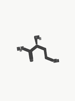 C[C@H](CCC(C)(C)C)C(N)=O